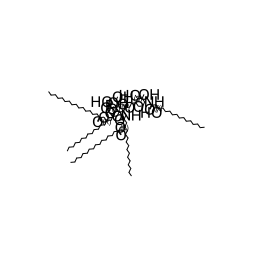 CCCCCCCCCCCCCCCC(=O)O[C@H](CCCCCCCCCCCCC)CC(=O)NC1C(OC(=O)C[C@@H](CCCCCCCCCCCCC)OC(=O)CCCCCCCCCCCCCCC)[C@H](OP(=O)(O)O)C(CO)O[C@H]1OCC1OCC(NC(=O)C[C@H](O)CCCCCCCCCCCCC)C(O)[C@@H]1O